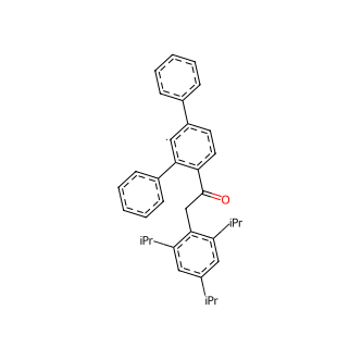 CC(C)c1cc(C(C)C)c(CC(=O)c2ccc(-c3ccccc3)[c]c2-c2ccccc2)c(C(C)C)c1